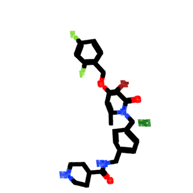 Cc1cc(OCc2ccc(F)cc2F)c(Br)c(=O)n1Cc1ccc(CNC(=O)C2CCNCC2)cc1.Cl